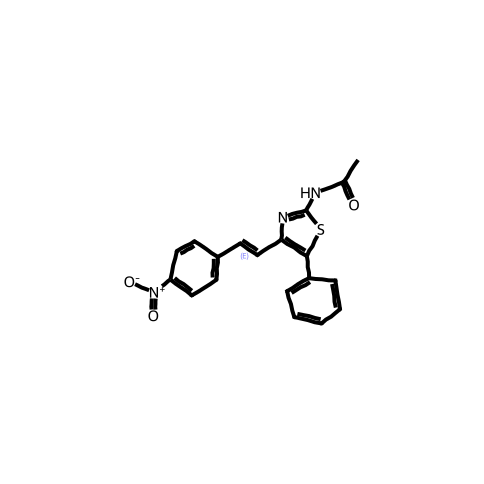 CC(=O)Nc1nc(/C=C/c2ccc([N+](=O)[O-])cc2)c(-c2ccccc2)s1